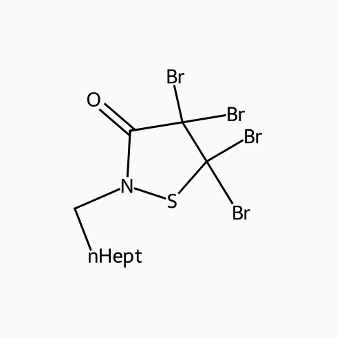 CCCCCCCCN1SC(Br)(Br)C(Br)(Br)C1=O